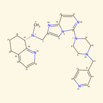 CN(Cc1cn2c(N3CCN(Cc4ccncc4)CC3)nccc2n1)[C@H]1CCCc2cccnc21